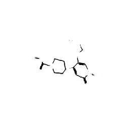 COCOc1cn(C)c(=O)cc1[C@@H]1CCN(C(=O)OC(C)(C)C)C[C@H]1C(=O)O